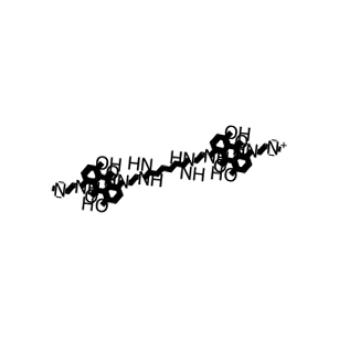 C[N+](C)(C)CCNc1ccc(O)c2c1C(=O)c1c(O)ccc(NCCNC(=N)CCCCC(=N)NCCNc3ccc(O)c4c3C(=O)c3c(O)ccc(NCC[N+](C)(C)C)c3C4=O)c1C2=O